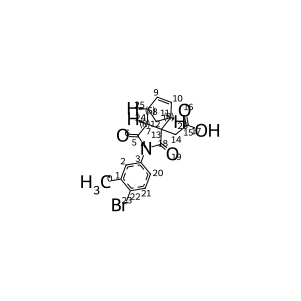 Cc1cc(N2C(=O)[C@@H]3[C@@H]4C=C[C@@H](C4)C3(CC(=O)O)C2=O)ccc1Br